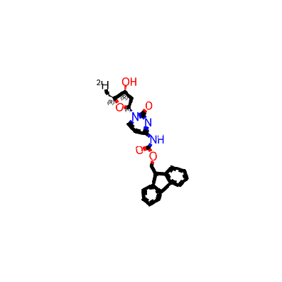 [2H]C[C@H]1O[C@@H](n2ccc(NC(=O)OCC3c4ccccc4-c4ccccc43)nc2=O)C[C@H]1O